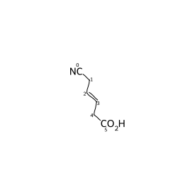 N#CCC=CCC(=O)O